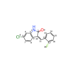 O=C1Nc2cc(Cl)ccc2C1=Cc1ccccc1F